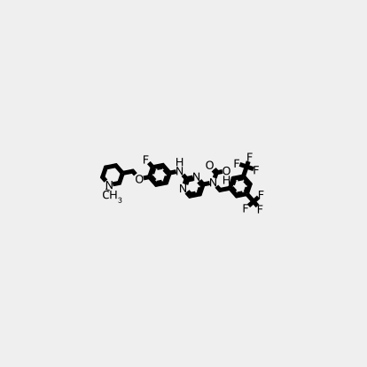 CN1CCCC(COc2ccc(Nc3nccc(N(Cc4cc(C(F)(F)F)cc(C(F)(F)F)c4)C(=O)O)n3)cc2F)C1